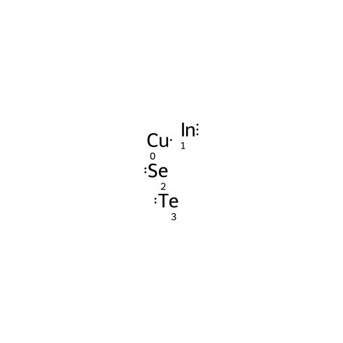 [Cu].[In].[Se].[Te]